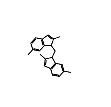 CC1=Cc2ccc(C)cc2C1CC1C(C)=Cc2ccc(C)cc21